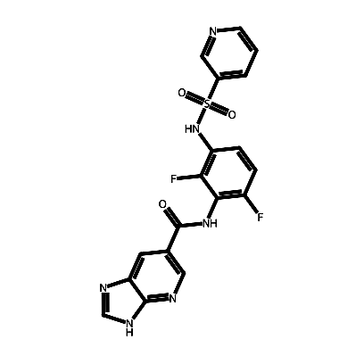 O=C(Nc1c(F)ccc(NS(=O)(=O)c2cccnc2)c1F)c1cnc2[nH]cnc2c1